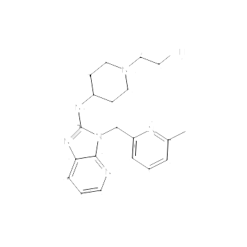 Cc1cccc(Cn2c(NC3CCN(CCO)CC3)nc3cccnc32)n1